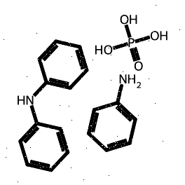 Nc1ccccc1.O=P(O)(O)O.c1ccc(Nc2ccccc2)cc1